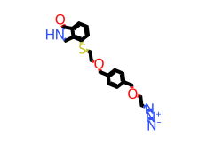 [N-]=[N+]=NCCOCc1ccc(COCCSc2cccc3c2CNC3=O)cc1